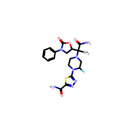 CC(C(N)=O)(C1CN(c2ccccc2)C(=O)O1)N1CCN(c2nnc(C(N)=O)s2)C(F)C1